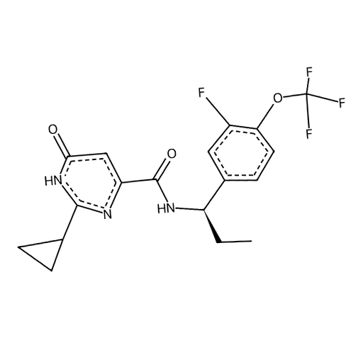 CC[C@@H](NC(=O)c1cc(=O)[nH]c(C2CC2)n1)c1ccc(OC(F)(F)F)c(F)c1